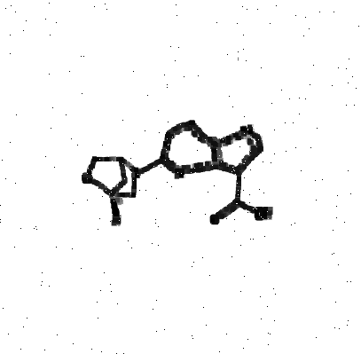 O=C(O)c1cnn2ccc(N3C[C@H]4CC3CO4)nc12